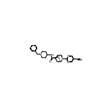 N#Cc1cnc(N2CC3CCC2CN3C(=O)NC2CCN(Cc3ccccc3)CC2)nc1